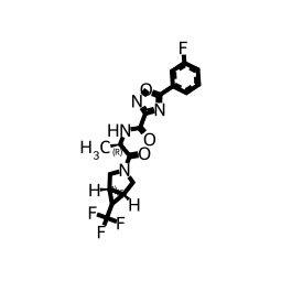 C[C@@H](NC(=O)c1noc(-c2cccc(F)c2)n1)C(=O)N1C[C@@H]2C(C(F)(F)F)[C@@H]2C1